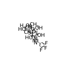 CN(C)C(=O)[C@@H](S[C@@H]1O[C@H](CO)[C@H](O)[C@H](n2cc(-c3cc(F)c(F)c(F)c3)nn2)[C@H]1O)C(C)(C)O